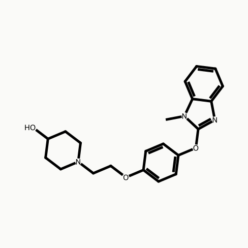 Cn1c(Oc2ccc(OCCN3CCC(O)CC3)cc2)nc2ccccc21